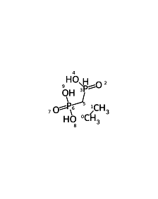 CC.O=[PH](O)CP(=O)(O)O